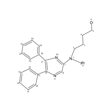 CC(C)N(CCCC[O])c1cnc(-c2ccccc2)c(-c2ccccc2)n1